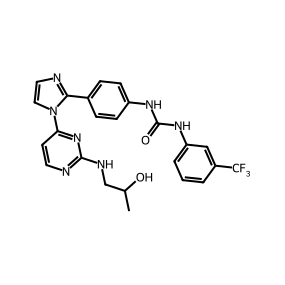 CC(O)CNc1nccc(-n2ccnc2-c2ccc(NC(=O)Nc3cccc(C(F)(F)F)c3)cc2)n1